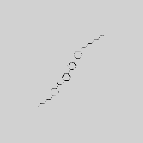 CCCCCCCC[C@H]1CC[C@H](c2cnc(-c3ccc(OC(=O)C4COC(CCCCC)OC4)cc3)nc2)CC1